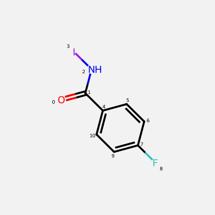 O=C(NI)c1ccc(F)cc1